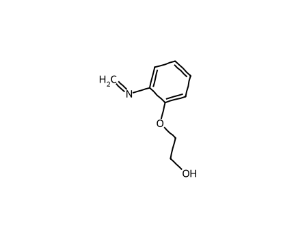 C=Nc1ccccc1OCCO